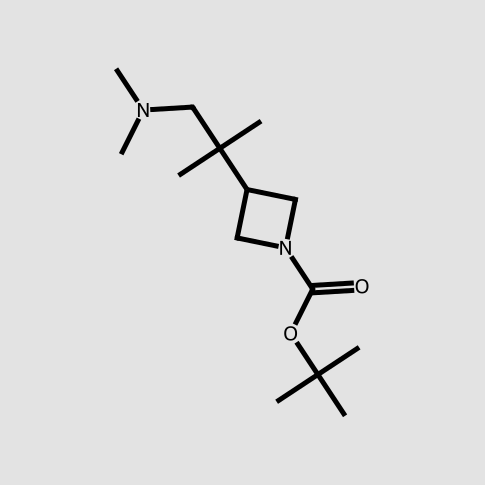 CN(C)CC(C)(C)C1CN(C(=O)OC(C)(C)C)C1